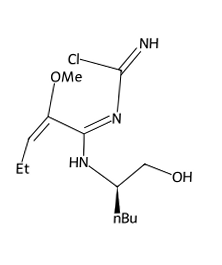 CC/C=C(OC)\C(=N/C(=N)Cl)N[C@@H](CO)CCCC